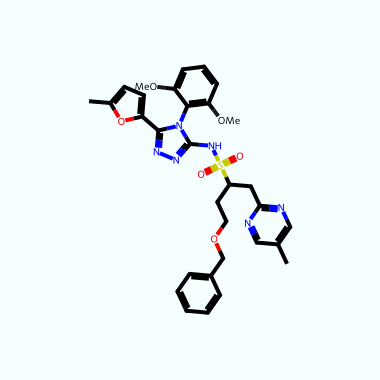 COc1cccc(OC)c1-n1c(NS(=O)(=O)C(CCOCc2ccccc2)Cc2ncc(C)cn2)nnc1-c1ccc(C)o1